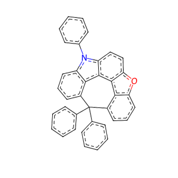 c1ccc(-n2c3cccc4c3c3c5c(ccc32)oc2cccc(c25)C4(c2ccccc2)c2ccccc2)cc1